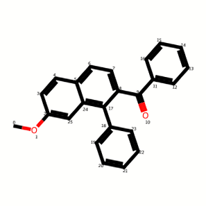 COc1ccc2ccc(C(=O)c3ccccc3)c(-c3ccccc3)c2c1